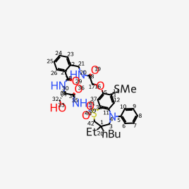 CCCCC1(CC)CN(c2ccccc2)c2cc(SC)c(OCC(=O)NCc3ccccc3C(=O)N[C@@H](CO)C(N)=O)cc2S(=O)(=O)C1